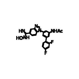 CC(=O)Nc1cc(-c2ccc(F)cc2F)cc(-n2cnc3cc(C(=N)NO)ccc32)c1